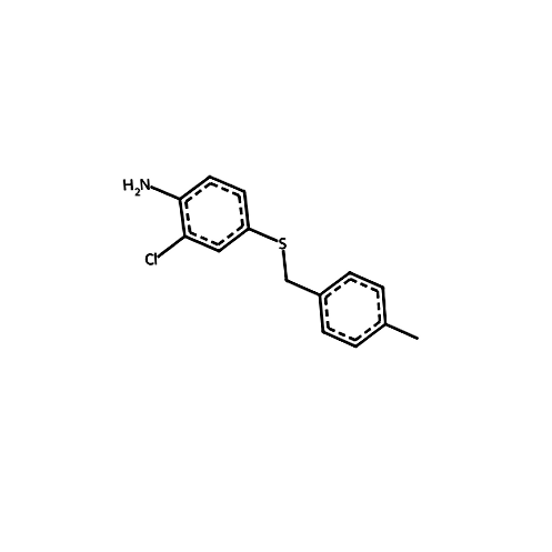 Cc1ccc(CSc2ccc(N)c(Cl)c2)cc1